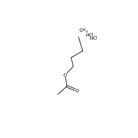 C.CCCCOC(C)=O.Cl.Cl